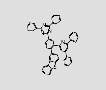 c1ccc(-c2cc(-c3ccccc3)nc(-c3cc(-c4nc(-c5ccccc5)nc(-c5ccccc5)n4)ccc3-c3ccc4sc5ccccc5c4c3)c2)cc1